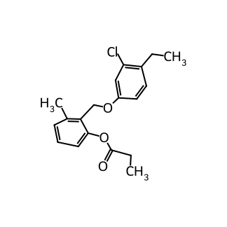 CCC(=O)Oc1cccc(C)c1COc1ccc(CC)c(Cl)c1